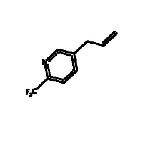 C=CCc1ccc(C(F)(F)F)nc1